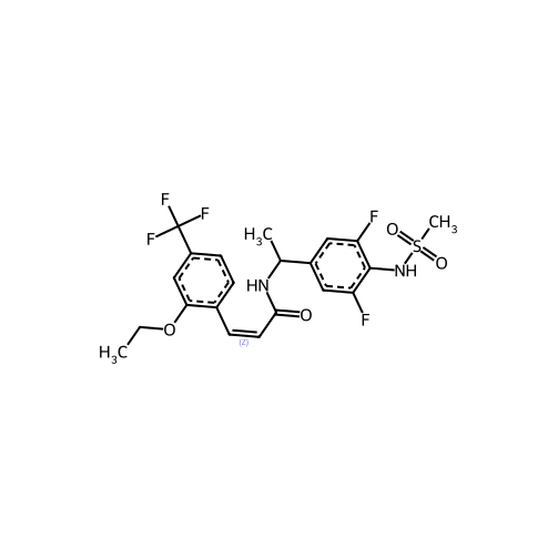 CCOc1cc(C(F)(F)F)ccc1/C=C\C(=O)NC(C)c1cc(F)c(NS(C)(=O)=O)c(F)c1